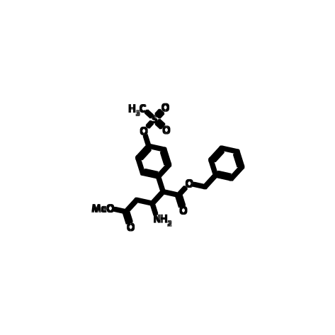 COC(=O)CC(N)C(C(=O)OCc1ccccc1)c1ccc(OS(C)(=O)=O)cc1